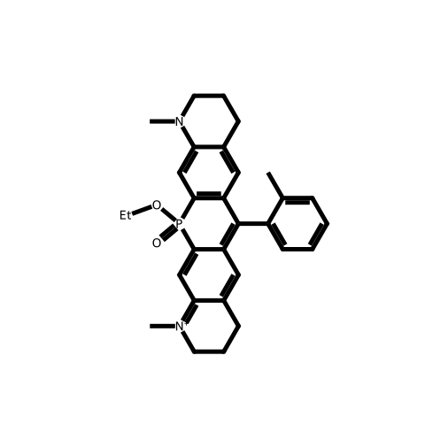 CCOP1(=O)c2cc3c(cc2C(c2ccccc2C)=c2cc4c(cc21)=[N+](C)CCC4)CCCN3C